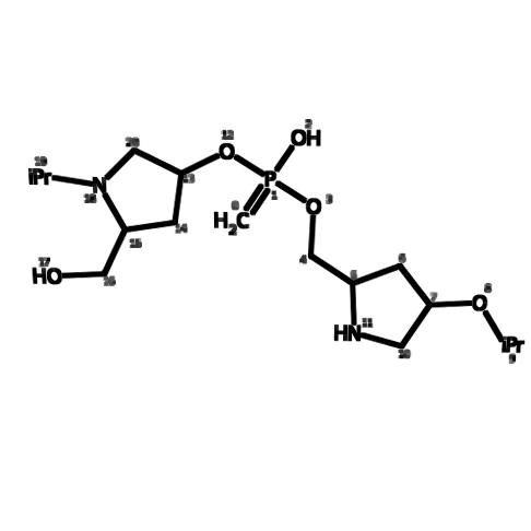 C=P(O)(OCC1CC(OC(C)C)CN1)OC1CC(CO)N(C(C)C)C1